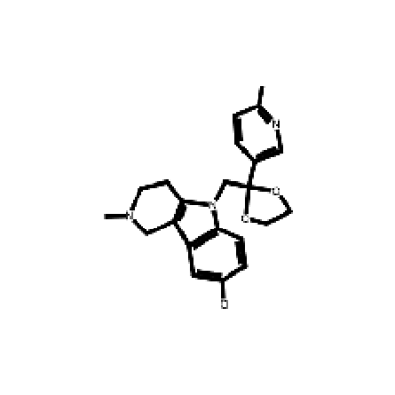 Cc1ccc(C2(Cn3c4c(c5cc(Cl)ccc53)CN(C)CC4)OCCO2)cn1